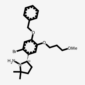 COCCCOc1cc([C@@H]2CCC(C)(C)N2N)c(Br)cc1OCc1ccccc1